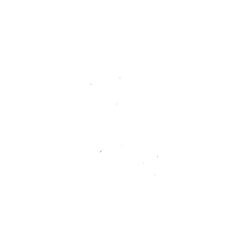 C[C@@H](OCc1ccccc1)OC(=O)C1CC1